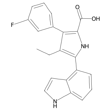 CCc1c(-c2cccc3[nH]ccc23)[nH]c(C(=O)O)c1-c1cccc(F)c1